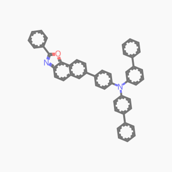 c1ccc(-c2ccc(N(c3ccc(-c4ccc5c(ccc6nc(-c7ccccc7)oc65)c4)cc3)c3cccc(-c4ccccc4)c3)cc2)cc1